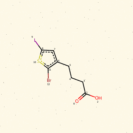 O=C(O)CCCc1cc(I)sc1Br